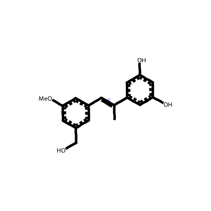 COc1cc(/C=C(\C)c2cc(O)cc(O)c2)cc(CO)c1